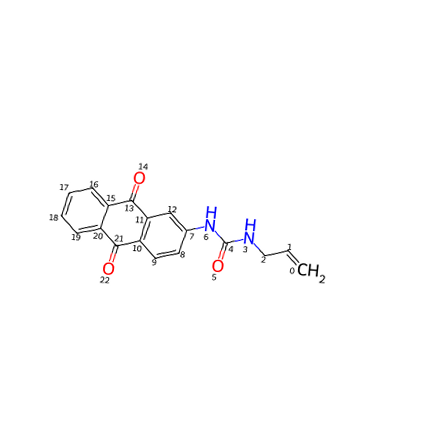 C=CCNC(=O)Nc1ccc2c(c1)C(=O)c1ccccc1C2=O